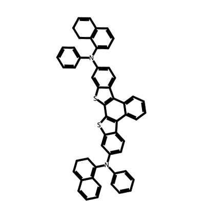 C1=Cc2cccc(N(c3ccccc3)c3ccc4c(c3)sc3c5sc6cc(N(C7=c8ccccc8=CCC7)c7ccccc7)ccc6c5c5ccccc5c43)c2CC1